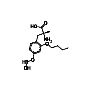 CCCCOc1cc(OBO)ccc1C[C@@](C)(N)C(=O)O